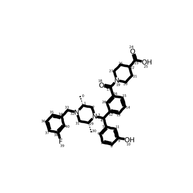 C[C@@H]1CN(C(c2cccc(O)c2)c2cccc(C(=O)N3CCC(C(=O)O)CC3)c2)[C@H](C)CN1Cc1cccc(F)c1